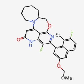 CCc1c(F)ccc2cc(OCOC)cc(-c3nc4c5c(cc(=O)[nH]c5c3F)N3CCCCCC3CO4)c12